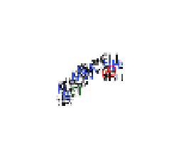 CC1(NC(=O)OC(C)(C)C)CCN(c2cnc3nc(-c4ccnc(N5CCCC5)c4Cl)ccc3n2)CC1